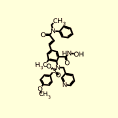 CCN(C(=O)C=Cc1cc(C)c(N(Cc2cccnc2)S(=O)(=O)c2ccc(OC)cc2)c(C(=O)NO)c1)c1ccccc1